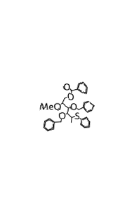 COC(COC(=O)c1ccccc1)C(OCc1ccccc1)C(OCc1ccccc1)C(C)Sc1ccccc1